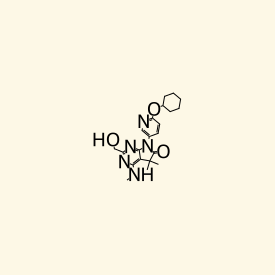 CNc1nc(CO)nc2c1C(C)(C)C(=O)N2c1ccc(OC2CCCCC2)nc1